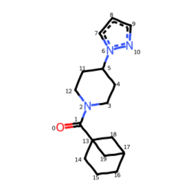 O=C(N1CCC(n2cccn2)CC1)C12CCCC(C1)C2